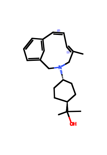 C/C1=C\C=C/c2cccc(c2)CN([C@H]2CC[C@H](C(C)(C)O)CC2)C1